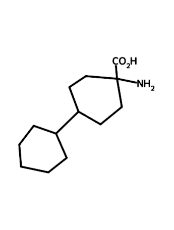 NC1(C(=O)O)CCC(C2CCCCC2)CC1